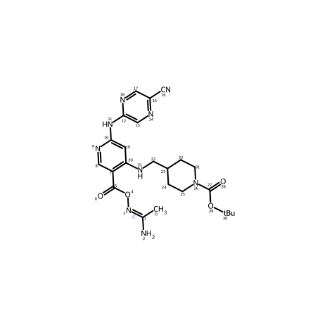 C/C(N)=N\OC(=O)c1cnc(Nc2cnc(C#N)cn2)cc1NCC1CCN(C(=O)OC(C)(C)C)CC1